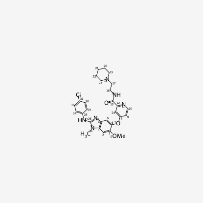 COc1cc2c(cc1Oc1ccnc(C(=O)NCCN3CCCCC3)c1)nc(Nc1ccc(Cl)cc1)n2C